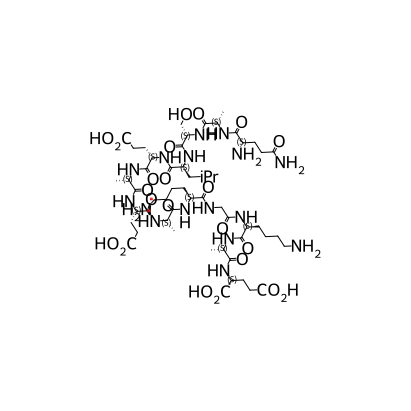 CC(C)C[C@H](NC(=O)[C@H](CO)NC(=O)[C@H](C)NC(=O)[C@@H](N)CCC(N)=O)C(=O)N[C@@H](CCC(=O)O)C(=O)N[C@@H](C)C(=O)N[C@@H](CCC(=O)O)C(=O)N[C@@H](C)C(=O)N[C@@H](CCCCN)C(=O)NCC(=O)N[C@@H](CCCCN)C(=O)N[C@@H](C)C(=O)N[C@@H](CCC(=O)O)C(=O)O